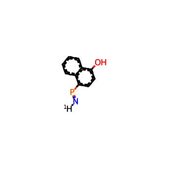 [1H]/N=P/c1ccc(O)c2ccccc12